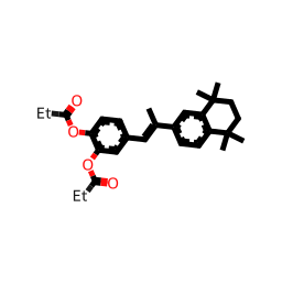 CCC(=O)Oc1ccc(C=C(C)c2ccc3c(c2)C(C)(C)CCC3(C)C)cc1OC(=O)CC